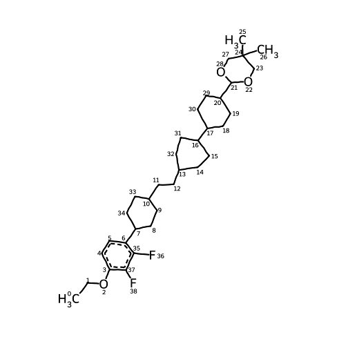 CCOc1ccc(C2CCC(CCC3CCC(C4CCC(C5OCC(C)(C)CO5)CC4)CC3)CC2)c(F)c1F